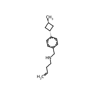 C=CCCNCc1ccc([C@H]2C[C@H](C)C2)cc1